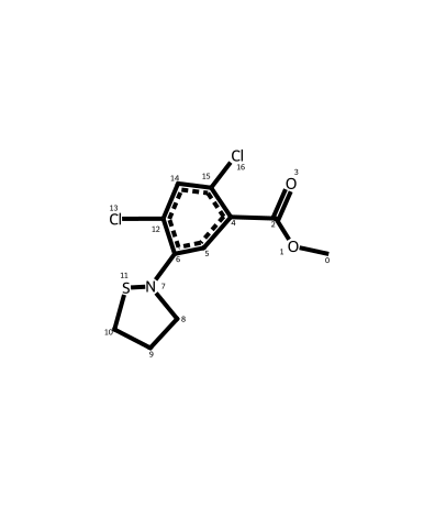 COC(=O)c1cc(N2CCCS2)c(Cl)cc1Cl